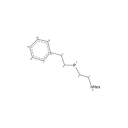 CCCCCCCC[P]CCc1ccccc1